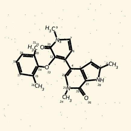 Cc1cc2c(-c3ccn(C)c(=O)c3Oc3c(C)cccc3C)cn(C)c(=O)c2[nH]1